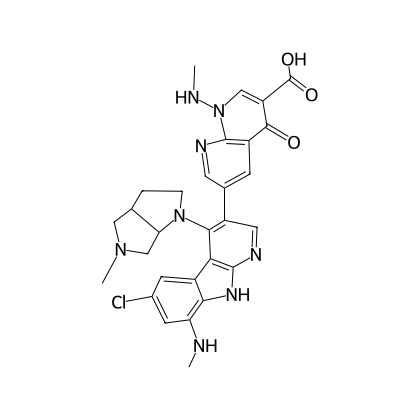 CNc1cc(Cl)cc2c1[nH]c1ncc(-c3cnc4c(c3)c(=O)c(C(=O)O)cn4NC)c(N3CCC4CN(C)CC43)c12